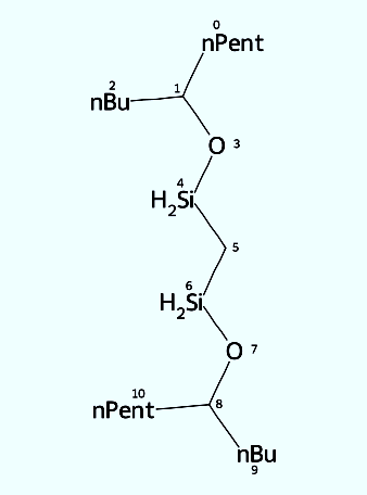 CCCCCC(CCCC)O[SiH2]C[SiH2]OC(CCCC)CCCCC